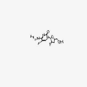 Nc1nc(=O)n([C@H]2O[C@@H](CO)CC2F)cc1F